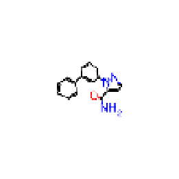 NC(=O)c1ccnn1-c1cccc(-c2ccccc2)c1